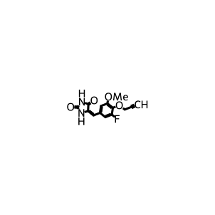 C#CCOc1c(F)cc(C=C2NC(=O)NC2=O)cc1OC